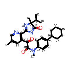 Cc1cnc(C2=NC(C)(C(C)C)C(=O)N2)c(C(=O)C(=O)N(C)c2ccc(C3CCCCC3)cc2)c1